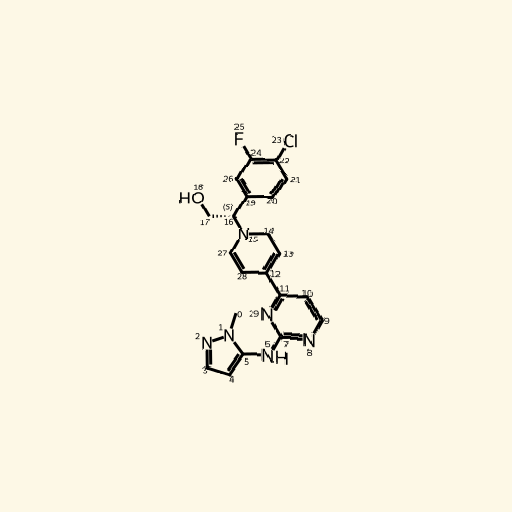 Cn1nccc1Nc1nccc(C2=CCN([C@H](CO)c3ccc(Cl)c(F)c3)C=C2)n1